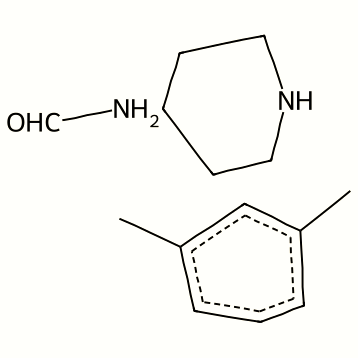 C1CCNCC1.Cc1cccc(C)c1.NC=O